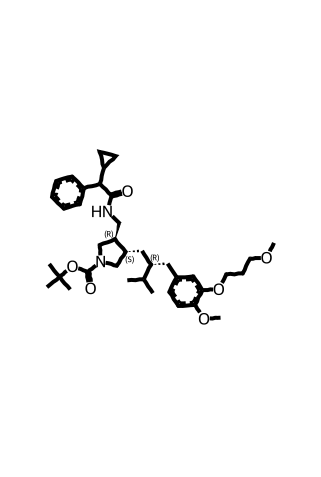 COCCCOc1cc(C[C@@H](C[C@@H]2CN(C(=O)OC(C)(C)C)C[C@H]2CNC(=O)C(c2ccccc2)C2CC2)C(C)C)ccc1OC